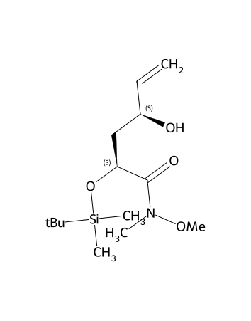 C=C[C@@H](O)C[C@H](O[Si](C)(C)C(C)(C)C)C(=O)N(C)OC